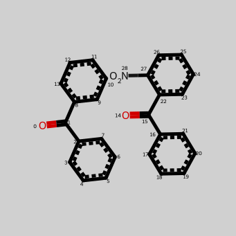 O=C(c1ccccc1)c1ccccc1.O=C(c1ccccc1)c1ccccc1[N+](=O)[O-]